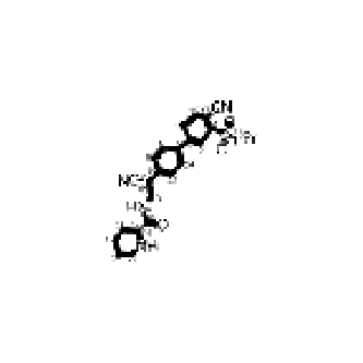 CCCS(=O)(=O)c1cc(-c2ccc([C@@H](C#N)CNC(=O)[C@@H]3CCCCN3)cc2)ccc1C#N